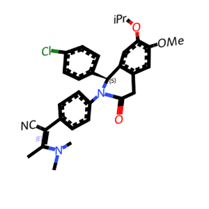 COc1cc2c(cc1OC(C)C)[C@H](c1ccc(Cl)cc1)N(c1ccc(/C(C#N)=C(/C)N(C)C)cc1)C(=O)C2